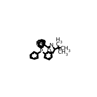 CC(C)(C)C1COC([C]23[CH]4[CH]5[CH]6[C]2(P(c2ccccc2)c2ccccc2)[Fe]54632789[CH]3[CH]2[CH]7[CH]8[CH]39)=N1